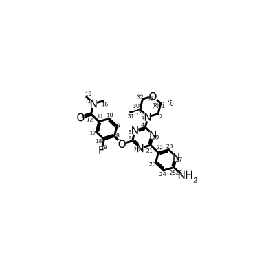 C[C@@H]1CN(c2nc(Oc3ccc(C(=O)N(C)C)cc3F)nc(-c3ccc(N)nc3)n2)[C@@H](C)CO1